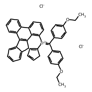 CCOc1ccc([C](c2ccc(OCC)cc2)=[Zr+2]([C]2=CC=CC2)[c]2cccc3c2c2c(c4ccccc43)-c3ccccc3C2)cc1.[Cl-].[Cl-]